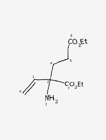 C=CC(N)(CCC(=O)OCC)C(=O)OCC